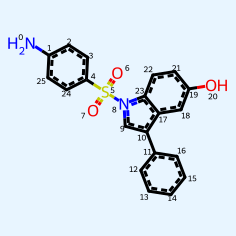 Nc1ccc(S(=O)(=O)n2cc(-c3ccccc3)c3cc(O)ccc32)cc1